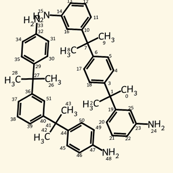 CC(C)(c1ccc(C(C)(C)c2cccc(N)c2)cc1)c1cccc(N)c1.CC(C)(c1ccc(N)cc1)c1cccc(C(C)(C)c2ccc(N)cc2)c1